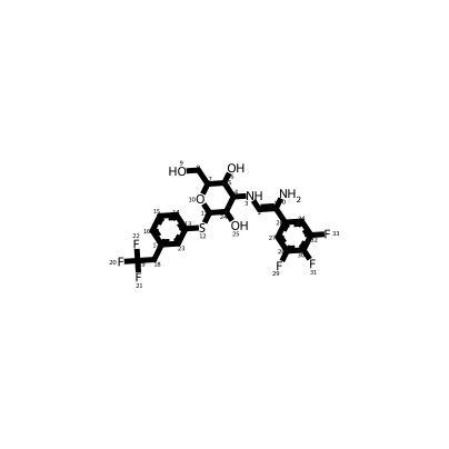 N/C(=C\NC1C(O)C(CO)OC(Sc2cccc(CC(F)(F)F)c2)C1O)c1cc(F)c(F)c(F)c1